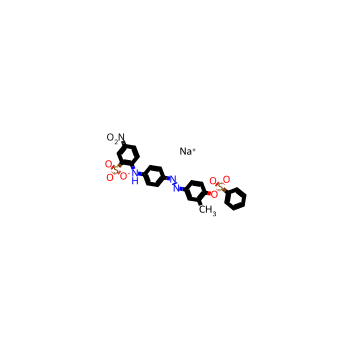 Cc1cc(N=Nc2ccc(Nc3ccc([N+](=O)[O-])cc3S(=O)(=O)[O-])cc2)ccc1OS(=O)(=O)c1ccccc1.[Na+]